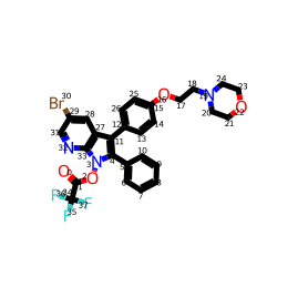 O=C(On1c(-c2ccccc2)c(-c2ccc(OCCN3CCOCC3)cc2)c2cc(Br)cnc21)C(F)(F)F